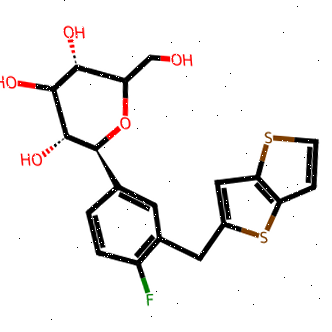 OCC1O[C@@H](c2ccc(F)c(Cc3cc4sccc4s3)c2)[C@H](O)C(O)[C@@H]1O